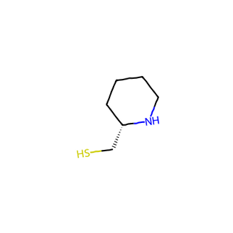 SC[C@@H]1CCCCN1